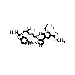 CCn1cc(C(=O)OC)cc(-c2cnn(C)c2OCCC[C@@H](C)Cn2c(N)nc3ccc(Br)cc32)c1=O